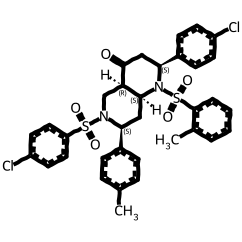 Cc1ccc([C@@H]2C[C@H]3[C@@H](CN2S(=O)(=O)c2ccc(Cl)cc2)C(=O)C[C@@H](c2ccc(Cl)cc2)N3S(=O)(=O)c2ccccc2C)cc1